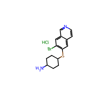 Cl.NC1CCC(Sc2cc3ccncc3cc2Br)CC1